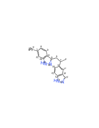 CC(C)c1ccc2c(CC(C)c3ccc4[nH]ncc4c3)n[nH]c2c1